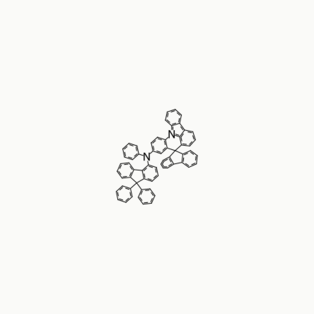 c1ccc(N(c2ccc3c(c2)C2(c4ccccc4-c4ccccc42)c2cccc4c5ccccc5n-3c24)c2cccc3c2-c2ccccc2C3(c2ccccc2)c2ccccc2)cc1